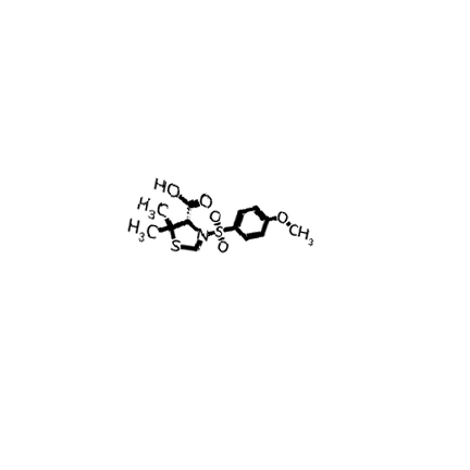 COc1ccc(S(=O)(=O)N2CSC(C)(C)[C@@H]2C(=O)O)cc1